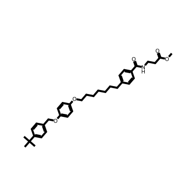 COC(=O)CCNC(=O)c1ccc(CCCCCCCOc2ccc(OCc3ccc(C(C)(C)C)cc3)cc2)cc1